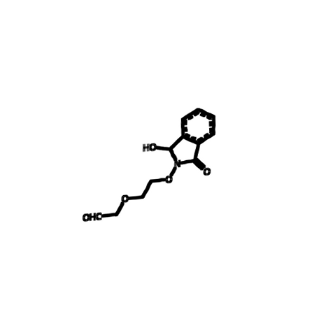 O=CCOCCON1C(=O)c2ccccc2C1O